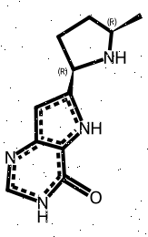 C[C@@H]1CC[C@H](c2cc3nc[nH]c(=O)c3[nH]2)N1